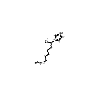 [CH2]CC(CCCCCCCCCCCC)n1ccnc1